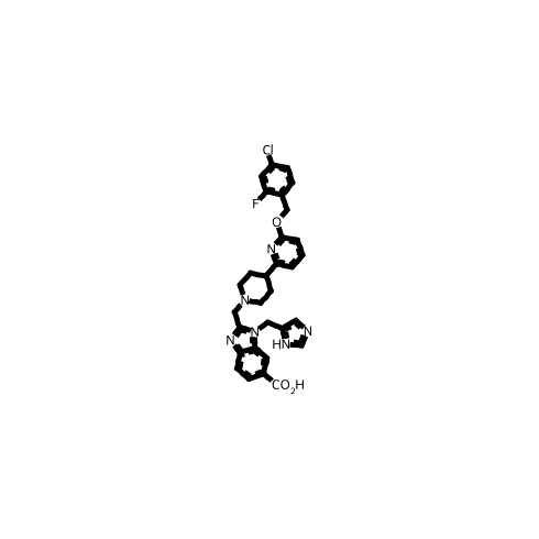 O=C(O)c1ccc2nc(CN3CCC(c4cccc(OCc5ccc(Cl)cc5F)n4)CC3)n(Cc3cnc[nH]3)c2c1